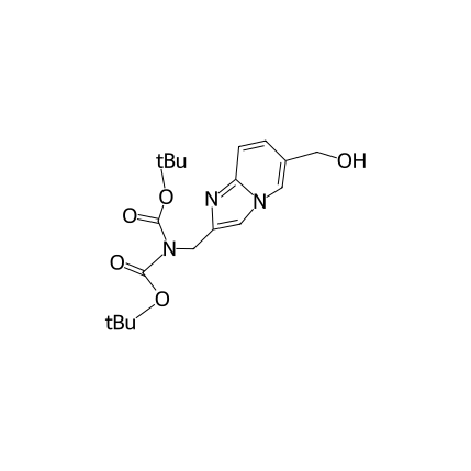 CC(C)(C)OC(=O)N(Cc1cn2cc(CO)ccc2n1)C(=O)OC(C)(C)C